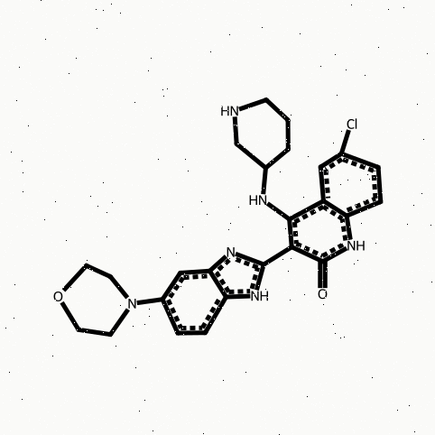 O=c1[nH]c2ccc(Cl)cc2c(NC2CCCNC2)c1-c1nc2cc(N3CCOCC3)ccc2[nH]1